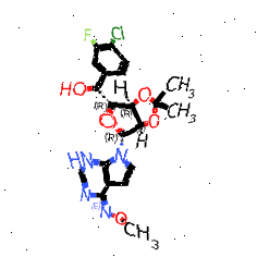 CO/N=c1/nc[nH]c2c1ccn2[C@@H]1O[C@H](C(O)c2ccc(Cl)c(F)c2)[C@H]2OC(C)(C)O[C@H]21